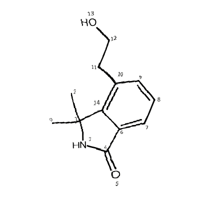 CC1(C)NC(=O)c2cccc(CCO)c21